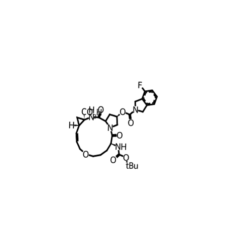 CC(C)(C)OC(=O)N[C@H]1CCCOC/C=C\[C@@H]2C[C@@]2(C(=O)O)NC(=O)C2C[C@@H](OC(=O)N3Cc4cccc(F)c4C3)CN2C1=O